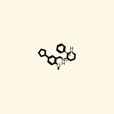 COc1ccc(C2CCCC2)cc1CN[C@@H]1CCCN[C@@H]1c1ccccc1